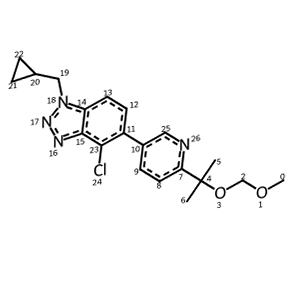 COCOC(C)(C)c1ccc(-c2ccc3c(nnn3CC3CC3)c2Cl)cn1